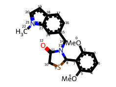 COc1cccc(OC)c1C1SCC(=O)N1Cc1ccc2ccn(C)c2c1